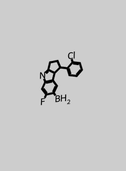 Bc1cc2c(cc1F)N=C1CCC(c3ccccc3Cl)C12